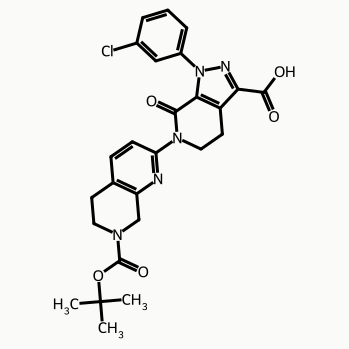 CC(C)(C)OC(=O)N1CCc2ccc(N3CCc4c(C(=O)O)nn(-c5cccc(Cl)c5)c4C3=O)nc2C1